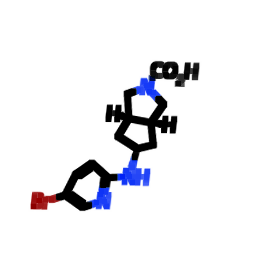 O=C(O)N1C[C@H]2C[C@H](Nc3ccc(Br)cn3)C[C@H]2C1